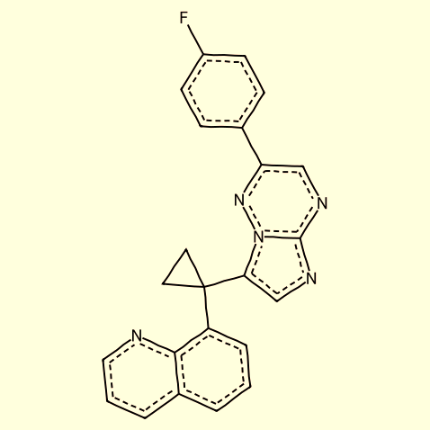 Fc1ccc(-c2cnc3ncc(C4(c5cccc6cccnc56)CC4)n3n2)cc1